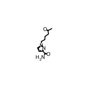 CC(=O)CCCCn1ccc(C(N)=O)n1